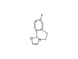 Fc1ccc2c(c1)CCN1C=COC21